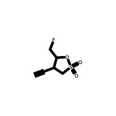 C#CC1CS(=O)(=O)OC1CF